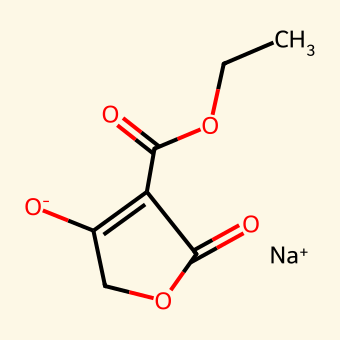 CCOC(=O)C1=C([O-])COC1=O.[Na+]